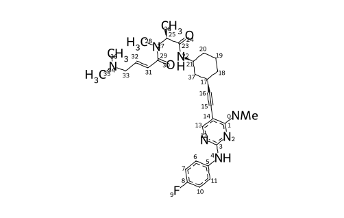 CNc1nc(Nc2ccc(F)cc2)ncc1C#C[C@@H]1CCC[C@H](NC(=O)[C@H](C)N(C)C(=O)/C=C/CN(C)C)C1